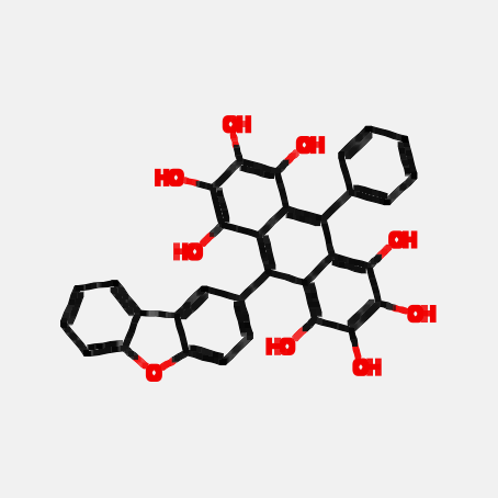 Oc1c(O)c(O)c2c(-c3ccc4oc5ccccc5c4c3)c3c(O)c(O)c(O)c(O)c3c(-c3ccccc3)c2c1O